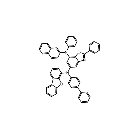 c1ccc(-c2ccc(N(c3cc(N(c4ccccc4)c4ccc5ccccc5c4)c4oc(-c5ccccc5)nc4c3)c3cccc4c3oc3ccccc34)cc2)cc1